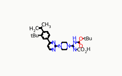 C=C(C)c1ccc(-c2ccnc(N3CCN(/C(=N/C(=O)O)NC(=O)OC(C)(C)C)CC3)n2)cc1C(C)(C)C